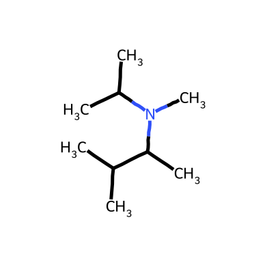 CC(C)C(C)N(C)C(C)C